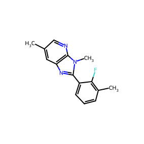 Cc1cnc2c(c1)nc(-c1cccc(C)c1F)n2C